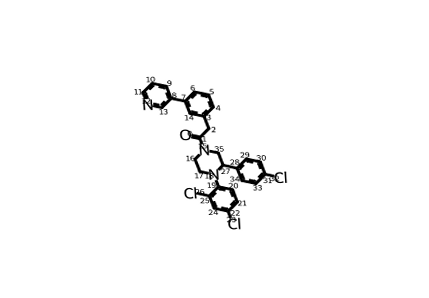 O=C(Cc1cccc(-c2cccnc2)c1)N1CCN(c2ccc(Cl)cc2Cl)C(c2ccc(Cl)cc2)C1